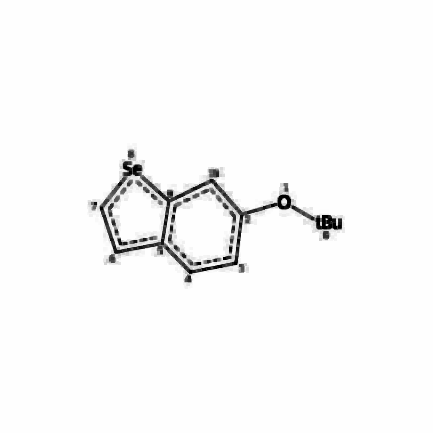 CC(C)(C)Oc1ccc2cc[se]c2c1